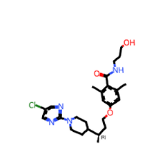 Cc1cc(OCC[C@@H](C)C2CCN(c3ncc(Cl)cn3)CC2)cc(C)c1C(=O)NCCCO